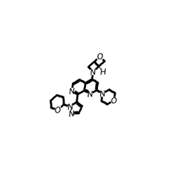 c1cc2c(N3CC4OC[C@H]43)cc(N3CCOCC3)nc2c(-c2ccnn2C2CCCCO2)n1